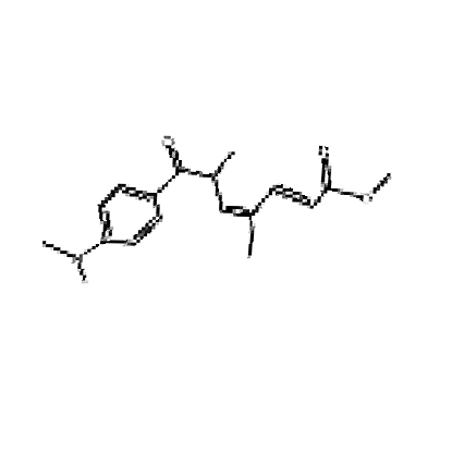 COC(=O)C=CC(C)=CC(C)C(=O)c1ccc(N(C)C)cc1